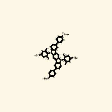 CCCCCCc1ccc(-c2ccc3c(c2)c2cc4c(cc2n3-c2c(C)cc(CCCC)cc2C)c2cc(-c3ccc(CCCCCC)cc3)ccc2n4-c2c(C)cc(CCCC)cc2C)cc1